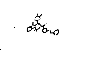 CC(I)C(C)OC(=O)C1=CN(C(=O)c2cccc(OCc3ccccc3)c2)CC(C)(C)c2c1[nH]c1ccccc21